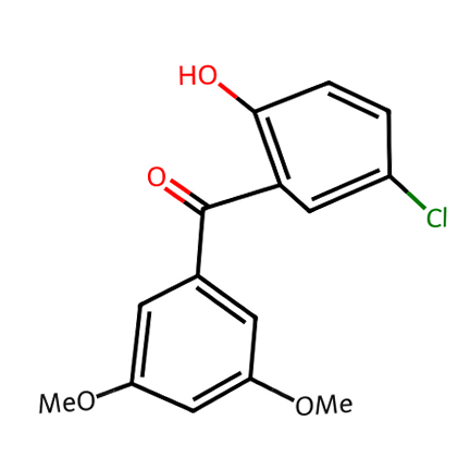 COc1cc(OC)cc(C(=O)c2cc(Cl)ccc2O)c1